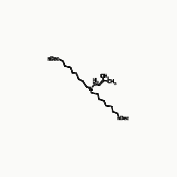 CCCCCCCCCCCCCCCCCCN(CCCCCCCCCCCCCCCCCC)[SiH2]C=C(C)C